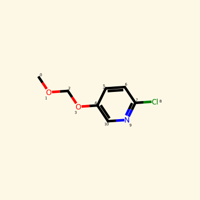 COCOc1[c]cc(Cl)nc1